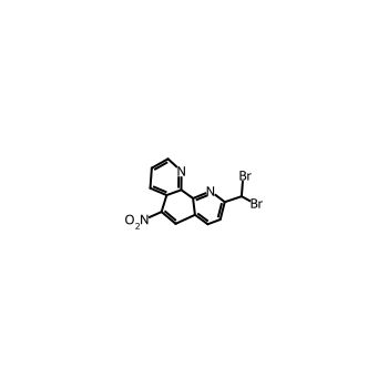 O=[N+]([O-])c1cc2ccc(C(Br)Br)nc2c2ncccc12